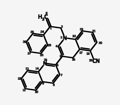 C=C(CN1C=C(c2ccc3ccccc3n2)Cc2c(C#N)cccc21)c1ccccc1